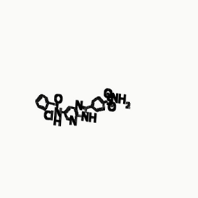 NS(=O)(=O)c1ccc(-c2nc3cc(NC(=O)c4ccccc4Cl)cnc3[nH]2)cc1